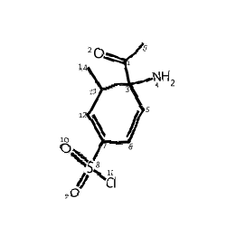 CC(=O)C1(N)C=CC(S(=O)(=O)Cl)=CC1C